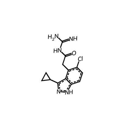 N=C(N)NC(=O)Cc1c(Cl)ccc2[nH]nc(C3CC3)c12